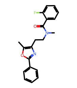 Cc1oc(-c2ccccc2)nc1CCN(C)C(=O)c1cc[c]cc1F